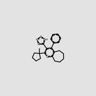 [CH]C1(c2nc3c(c(-c4ccccc4)c2-c2nnn[nH]2)CCCCC3)CCCC1